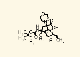 C=CCOC(=O)C(C[C@@](C)(NC(=O)OC(C)(C)C)OCC)(C(=O)O)N1CCOCS1